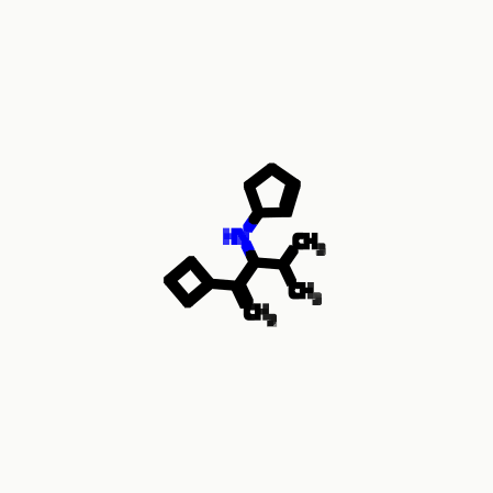 C=C(C1CCC1)C(NC1C=CCC1)C(C)C